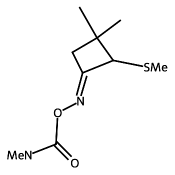 CNC(=O)ON=C1CC(C)(C)C1SC